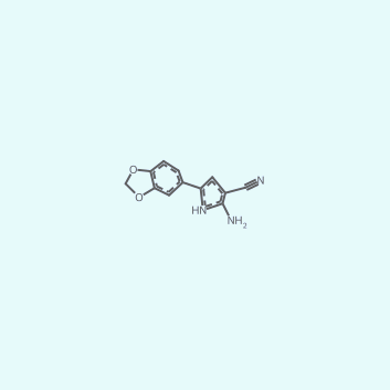 N#Cc1cc(-c2ccc3c(c2)OCO3)[nH]c1N